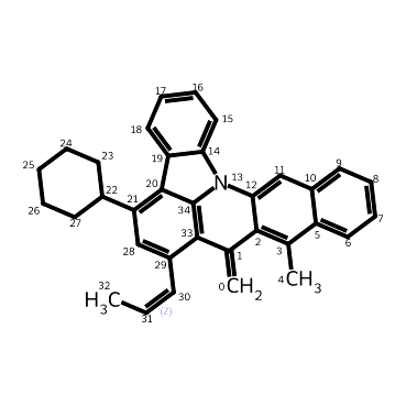 C=c1c2c(C)c3ccccc3cc2n2c3ccccc3c3c(C4CCCCC4)cc(/C=C\C)c1c32